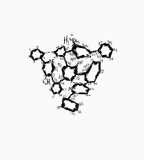 Cc1cc(-c2ccccc2)ncc1-c1ccccc1-c1cc(-c2ccccc2-c2ccc(-c3ccccc3)nc2)cc(-c2ccccc2-c2cnc(-c3ccccc3)cc2C)c1